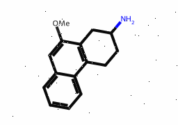 COc1cc2ccccc2c2c1CC(N)CC2